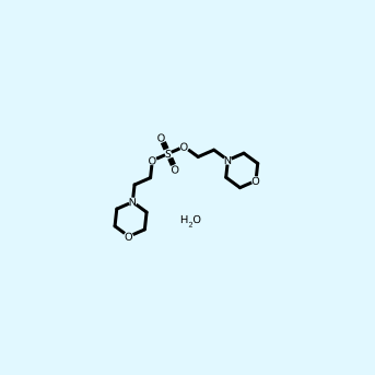 O.O=S(=O)(OCCN1CCOCC1)OCCN1CCOCC1